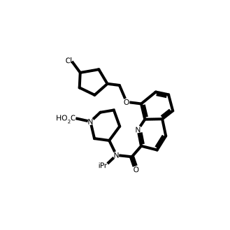 CC(C)N(C(=O)c1ccc2cccc(OCC3CCC(Cl)C3)c2n1)C1CCCN(C(=O)O)C1